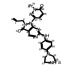 C=CCn1c(=O)c2cnc(Nc3ccc(N4CCN[C@@H](C)C4)cc3)nc2n1-c1ccc(=O)n(C(C)C)n1